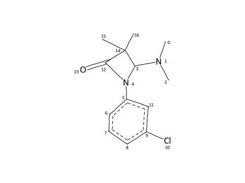 CN(C)C1N(c2cccc(Cl)c2)C(=O)C1(C)C